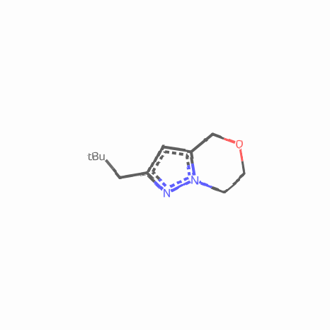 CC(C)(C)Cc1cc2n(n1)CCOC2